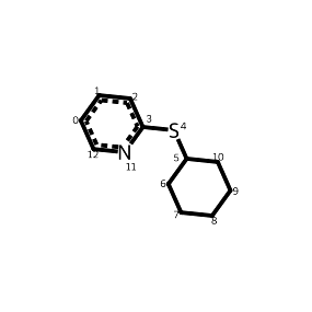 c1ccc(SC2CCCCC2)nc1